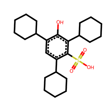 O=S(=O)(O)c1c(C2CCCCC2)cc(C2CCCCC2)c(O)c1C1CCCCC1